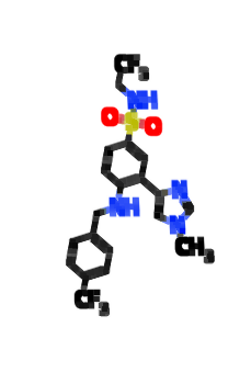 Cn1cnc(-c2cc(S(=O)(=O)NCC(F)(F)F)ccc2NCc2ccc(C(F)(F)F)cc2)c1